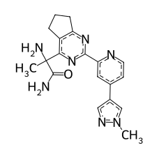 Cn1cc(-c2ccnc(-c3nc4c(c(C(C)(N)C(N)=O)n3)CCC4)c2)cn1